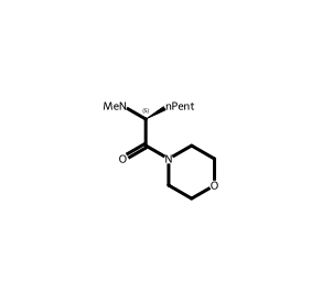 CCCCC[C@H](NC)C(=O)N1CCOCC1